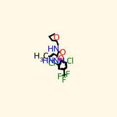 CC1=CC(Oc2c(Cl)cc(C(F)(F)F)cc2Cl)(C(=O)NCC2CCCO2)NN1